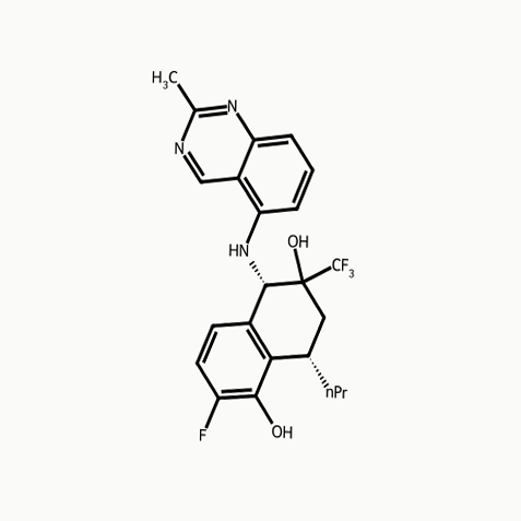 CCC[C@H]1CC(O)(C(F)(F)F)[C@@H](Nc2cccc3nc(C)ncc23)c2ccc(F)c(O)c21